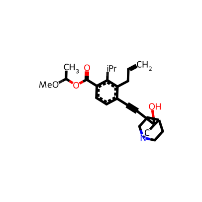 C=CCc1c(C#CC2(O)CN3CCC2CC3)ccc(C(=O)OC(C)OC)c1C(C)C